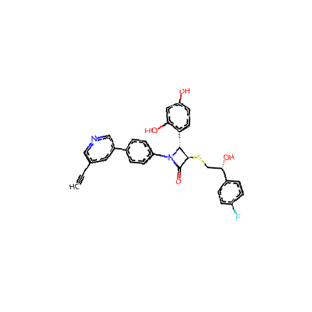 C#Cc1cncc(-c2ccc(N3C(=O)[C@H](SC[C@H](O)c4ccc(F)cc4)[C@H]3c3ccc(O)cc3O)cc2)c1